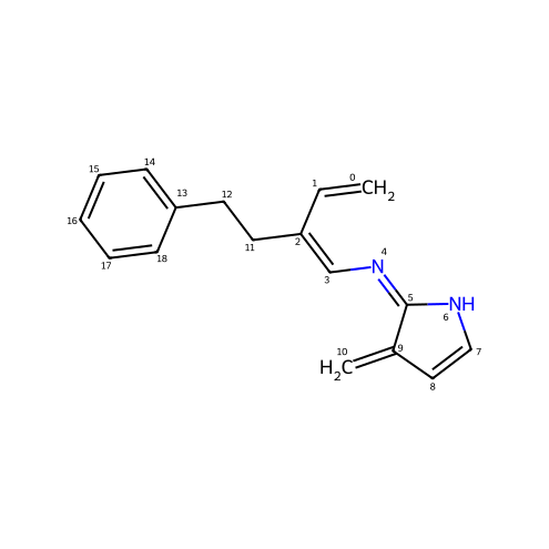 C=C/C(=C\N=C1\NC=CC1=C)CCc1ccccc1